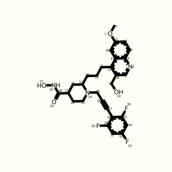 COc1ccc2ncc(CO)c(CCCC3CC(C(=O)NO)CCN3CC#Cc3c(F)cc(F)cc3F)c2c1